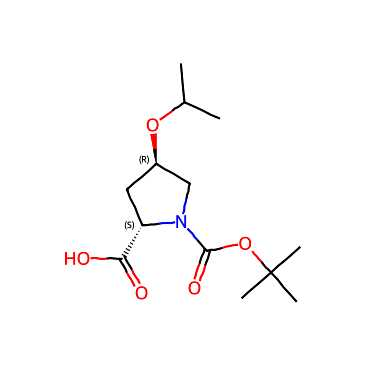 CC(C)O[C@@H]1C[C@@H](C(=O)O)N(C(=O)OC(C)(C)C)C1